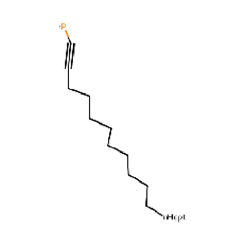 CCCCCCCCCCCCCCCCC#C[P]